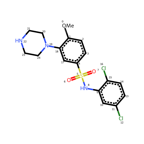 COc1ccc(S(=O)(=O)Nc2cc(Cl)ccc2Cl)cc1N1CCNCC1